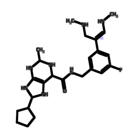 CN/C=C(\CNC)c1cc(F)cc(CNC(=O)C2NC(C)NC3=C2NC(C2CCCC2)N3)c1